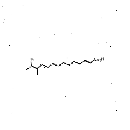 CC(C)C(C)C(C)CCCCCCCCCCC(=O)O